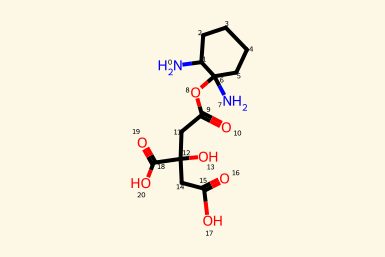 NC1CCCCC1(N)OC(=O)CC(O)(CC(=O)O)C(=O)O